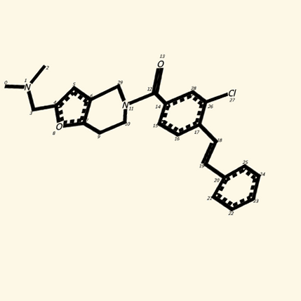 CN(C)Cc1cc2c(o1)CCN(C(=O)c1ccc(C=Cc3ccccc3)c(Cl)c1)C2